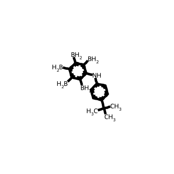 Bc1c(B)c(B)c(Nc2ccc(C(C)(C)C)cc2)c(B)c1B